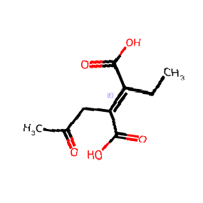 CC/C(C(=O)O)=C(/CC(C)=O)C(=O)O